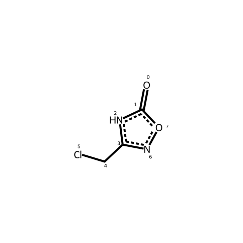 O=c1[nH]c(CCl)no1